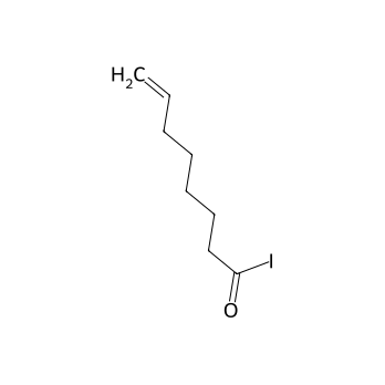 C=CCCCCCC(=O)I